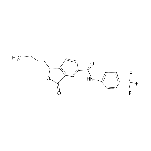 CCCCC1OC(=O)c2cc(C(=O)Nc3ccc(C(F)(F)F)cc3)ccc21